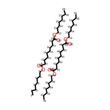 CCCCCCCCOC(=O)CCCCCCCCC(=O)OCCCCCCCC.CCCCCCCCOC(=O)CCCCCCCCC(=O)OCCCCCCCC